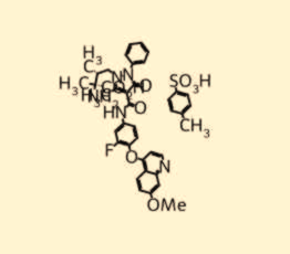 COc1ccc2c(Oc3ccc(NC(=O)c4c(C)n(C[C@@H](C)[C@](C)(N)C(=O)O)n(-c5ccccc5)c4=O)cc3F)ccnc2c1.Cc1ccc(S(=O)(=O)O)cc1